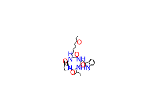 CCC(=O)CCCCC[C@@H]1NC(=O)[C@H]2CCCCN2C(=O)[C@H](C(C)CC)NC(=O)[C@H](Cc2cn(C)c3ccccc23)NC1=O